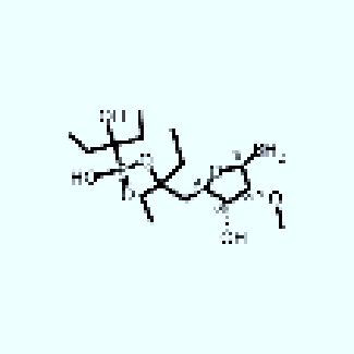 B[C@@H]1O[C@H](CC(CC)(CC)OP(=O)(O)C(O)(CC)CC)[C@@H](O)[C@H]1OC